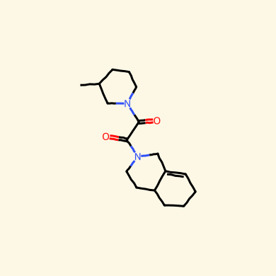 CC1CCCN(C(=O)C(=O)N2CCC3CCCC=C3C2)C1